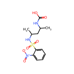 CC(CC(C)NS(=O)(=O)c1ccccc1[N+](=O)[O-])NC(=O)O